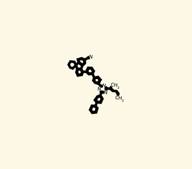 C/C=C\C=C(/C)c1nc(-c2ccc(-c3ccccc3)cc2)nc(-c2ccc(-c3cccc(-c4cccc5c4-c4cc(C#N)ccc4C54CCCCC4)c3)cc2)n1